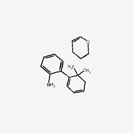 C1=COCCC1.CC1(C)CC=CC=C1c1ccccc1N